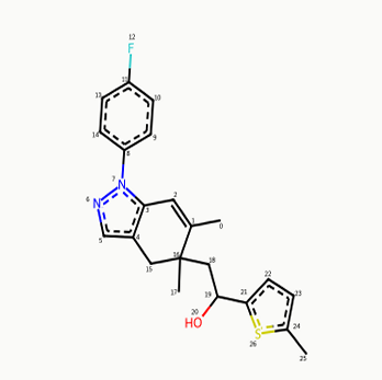 CC1=Cc2c(cnn2-c2ccc(F)cc2)CC1(C)CC(O)c1ccc(C)s1